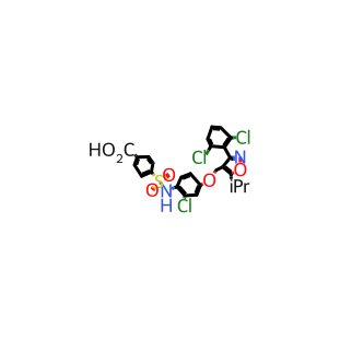 CC(C)c1onc(-c2c(Cl)cccc2Cl)c1COc1ccc(NS(=O)(=O)c2ccc(C(=O)O)cc2)c(Cl)c1